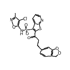 Cc1noc(NS(=O)(=O)c2c(C(=O)CCc3ccc4c(c3)OOC4)sc3ncccc23)c1Cl